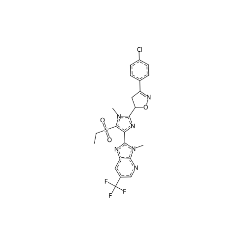 CCS(=O)(=O)c1c(-c2nc3cc(C(F)(F)F)cnc3n2C)nc(C2CC(c3ccc(Cl)cc3)=NO2)n1C